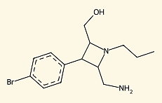 CCCN1C(CN)C(c2ccc(Br)cc2)C1CO